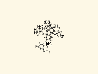 Cc1cc(F)ccc1CN1CCc2cc(-c3c(CN4CC[C@H](F)C4)nc(C)c(C(OC(C)(C)C)C(=O)O)c3N3CCC(C)(C)CC3)ccc2C1